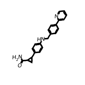 NC(=O)C1CC1c1ccc(NCc2ccc(-c3ccccn3)cc2)cc1